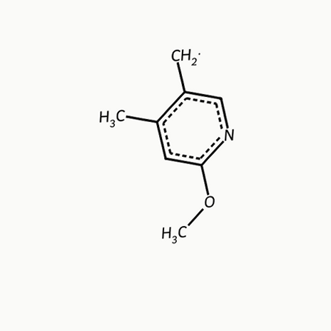 [CH2]c1cnc(OC)cc1C